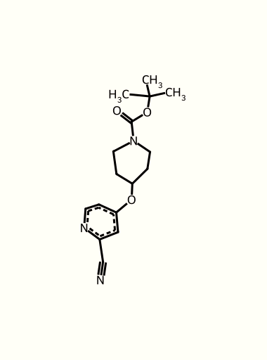 CC(C)(C)OC(=O)N1CCC(Oc2ccnc(C#N)c2)CC1